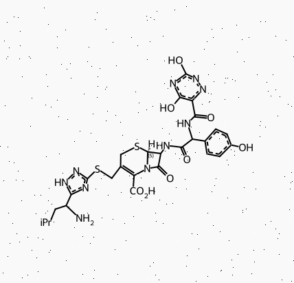 CC(C)CC(N)c1nc(SCC2=C(C(=O)O)N3C(=O)C(NC(=O)C(NC(=O)c4nnc(O)nc4O)c4ccc(O)cc4)[C@@H]3SC2)n[nH]1